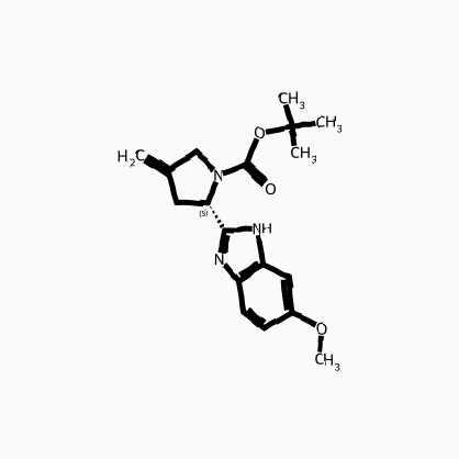 C=C1C[C@@H](c2nc3ccc(OC)cc3[nH]2)N(C(=O)OC(C)(C)C)C1